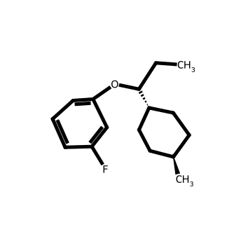 CCC(Oc1cccc(F)c1)[C@H]1CC[C@H](C)CC1